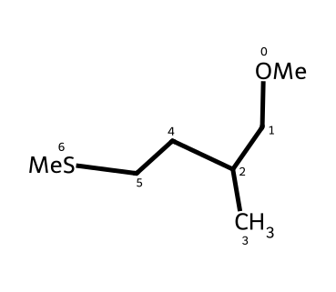 COCC(C)CCSC